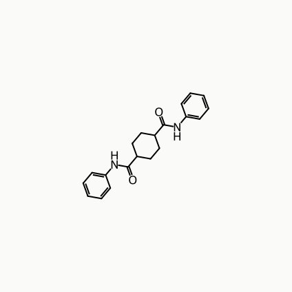 O=C(Nc1ccccc1)C1CCC(C(=O)Nc2ccccc2)CC1